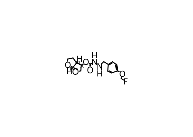 O=C(NNCc1ccc(OCF)cc1)O[C@H]1CO[C@H]2OCC[C@H]21